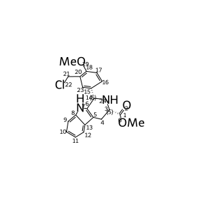 COC(=O)[C@@H]1Cc2c([nH]c3ccccc23)[C@H](c2ccc(OC)c(CCl)c2)N1